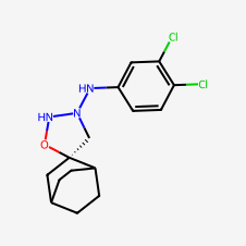 Clc1ccc(NN2C[C@]3(CC4CCC3CC4)ON2)cc1Cl